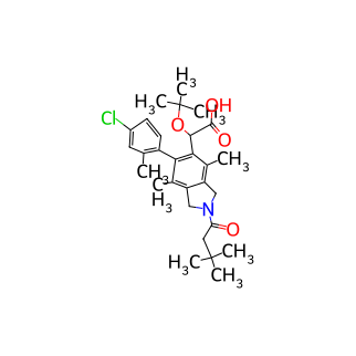 Cc1cc(Cl)ccc1-c1c(C)c2c(c(C)c1C(OC(C)(C)C)C(=O)O)CN(C(=O)CC(C)(C)C)C2